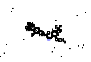 COc1nc(C(F)(F)F)ccc1/C=C\C(=O)NCc1ccc(NS(C)(=O)=O)c(F)c1